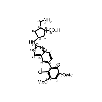 COc1cc(OC)c(Cl)c(-c2ccc3nc(N[C@H]4C[C@@H](CN)N(C(=O)O)C4)ncc3c2)c1Cl